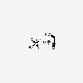 C=CC#N.N.N.O=S(=O)(O)O